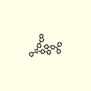 c1ccc(-c2nc(-c3ccc(-c4ccc5ccccc5c4)cc3)n(-c3ccc(-c4ccccc4-c4ccccc4-c4ccc(N(c5ccccc5)c5ccccc5)cc4)cc3)n2)cc1